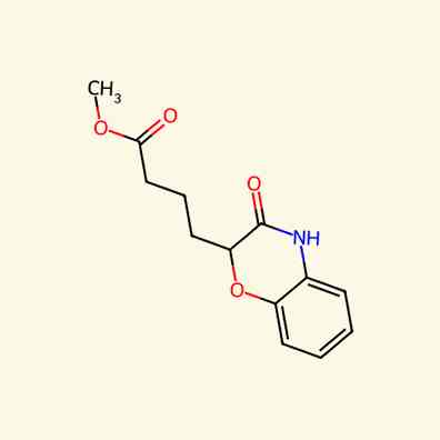 COC(=O)CCCC1Oc2ccccc2NC1=O